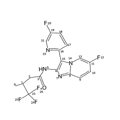 CC(CC(=O)Nc1nc2ccc(F)cn2c1-c1ccc(F)cn1)C(F)(F)F